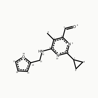 Cc1c(C=O)nc(C2CC2)nc1NCc1ccco1